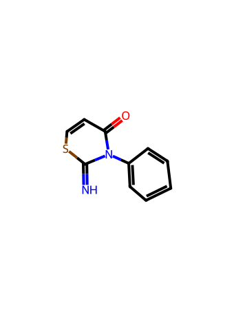 N=c1sccc(=O)n1-c1ccccc1